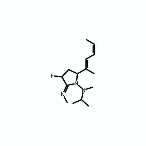 C/C=C\C=C(/C)C1CC(F)/C(=N/C)N1N(C)C(C)C